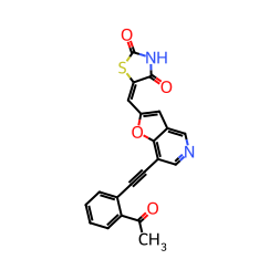 CC(=O)c1ccccc1C#Cc1cncc2cc(C=C3SC(=O)NC3=O)oc12